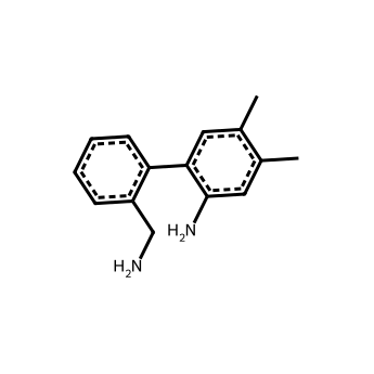 Cc1cc(N)c(-c2ccccc2CN)cc1C